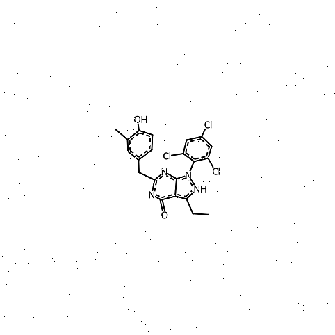 CCc1[nH]n(-c2c(Cl)cc(Cl)cc2Cl)c2nc(Cc3ccc(O)c(C)c3)nc(=O)c1-2